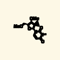 COC[C@H]1O[C@@H](n2ccc(=O)n(C)c2=O)C2(CC2)[C@@H]1OC